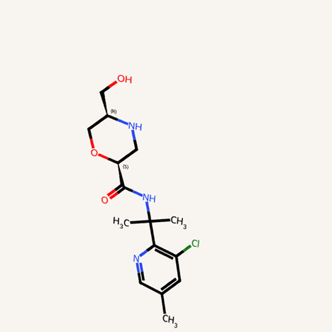 Cc1cnc(C(C)(C)NC(=O)[C@@H]2CN[C@H](CO)CO2)c(Cl)c1